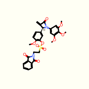 C=C1C(=O)N(c2cc(OC)c(OC)c(OC)c2)[C@H]1c1ccc(OC)c(OS(=O)(=O)CCN2C(=O)c3ccccc3C2=O)c1